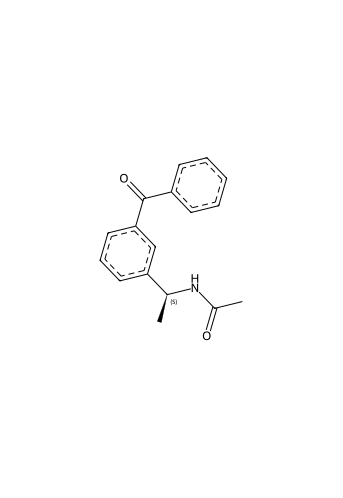 CC(=O)N[C@@H](C)c1cccc(C(=O)c2ccccc2)c1